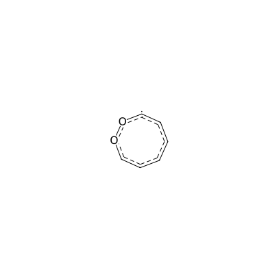 [c]1cccccoo1